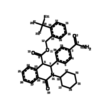 NC(=O)c1ccc(C2C(C(=O)OCc3ccccc3C(F)(F)F)c3ccccc3C(=O)N2C2CCCCC2)cc1